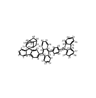 c1ccc2c(c1)-c1ccc(-c3c4ccccc4c(-c4ccc(-n5c6ccccc6c6ccccc65)cc4)c4ccccc34)cc1C21C2CC3CC(C2)CC1C3